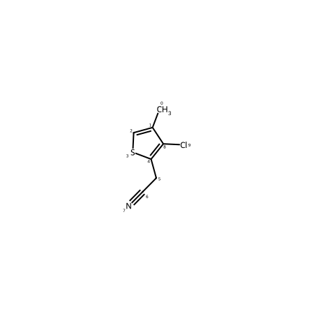 Cc1csc(CC#N)c1Cl